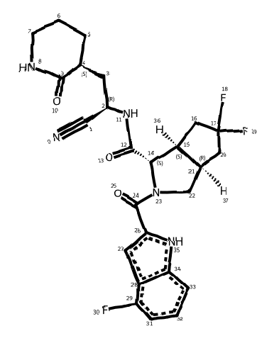 N#C[C@@H](C[C@@H]1CCCNC1=O)NC(=O)[C@@H]1[C@H]2CC(F)(F)C[C@H]2CN1C(=O)c1cc2c(F)cccc2[nH]1